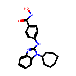 O=C(NO)c1ccc(Nc2nc3ccccc3n2C2CCCCCC2)cc1